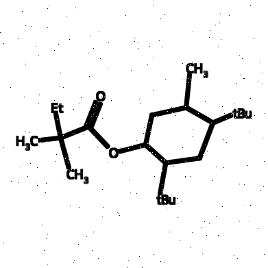 CCC(C)(C)C(=O)OC1CC(C)C(C(C)(C)C)CC1C(C)(C)C